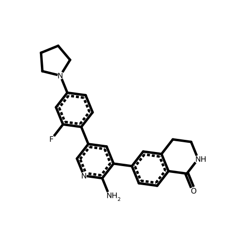 Nc1ncc(-c2ccc(N3CCCC3)cc2F)cc1-c1ccc2c(c1)CCNC2=O